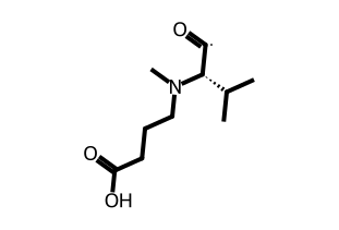 CC(C)[C@@H]([C]=O)N(C)CCCC(=O)O